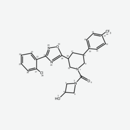 O=C(N1CC(O)C1)N1CC(c2ccc(C(F)(F)F)cc2)CC(c2nc(-c3ccccc3Cl)no2)C1